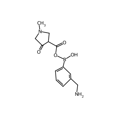 CN1CC(=O)C(C(=O)OB(O)c2cccc(CN)c2)C1